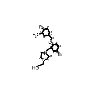 OCCN1CCN(Cc2cc(Br)ccc2OCc2ccc(F)c(C(F)(F)F)c2)CC1